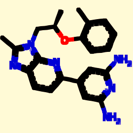 Cc1ccccc1O[C@H](C)Cn1c(C)nc2ccc(-c3cc(N)nc(N)c3)nc21